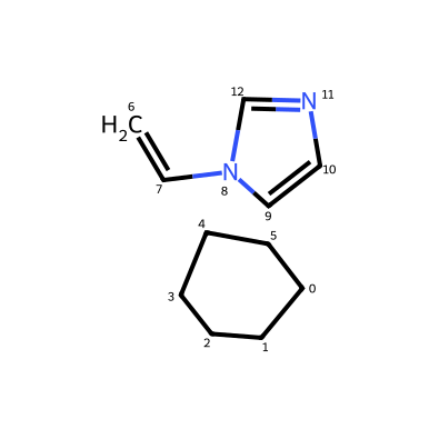 C1CCCCC1.C=Cn1ccnc1